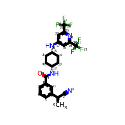 CC(C#N)c1cccc(C(=O)N[C@H]2CC[C@@H](Nc3cc(C(F)(F)F)nc(C(F)(F)F)c3)CC2)c1